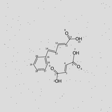 O=C(O)C=CC(=O)O.O=C(O)C=CC=Cc1ccccc1